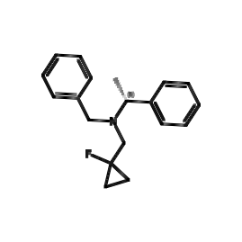 C[C@H](c1ccccc1)N(Cc1ccccc1)CC1(F)CC1